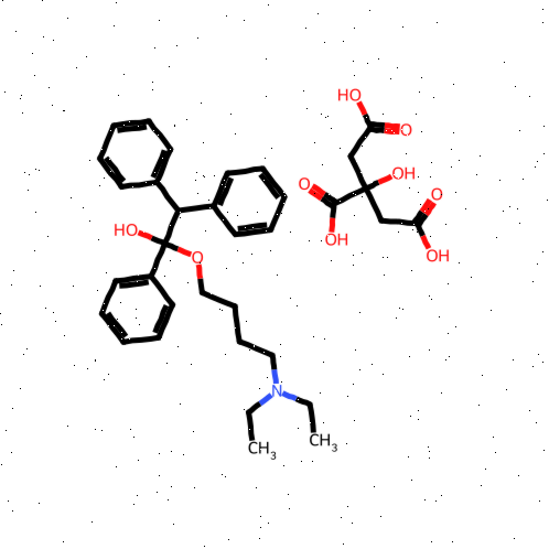 CCN(CC)CCCCOC(O)(c1ccccc1)C(c1ccccc1)c1ccccc1.O=C(O)CC(O)(CC(=O)O)C(=O)O